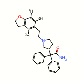 [2H]c1c([2H])c2c(c([2H])c1CCN1CC[C@@H](C(C(N)=O)(c3ccccc3)c3ccccc3)C1)CCO2